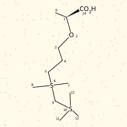 C[C@H](OCCCS(C)(C)CS(C)(C)C)C(=O)O